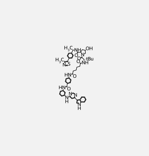 Cc1ncsc1-c1ccc([C@H](C)NC(=O)C2C[C@@H](O)CN2C(=O)[C@@H](NC(=O)CCCCC(=O)Nc2ccc(C(=O)Nc3cccc(Nc4cc(-c5c[nH]c6ccccc56)ncn4)c3)cc2)C(C)(C)C)cc1